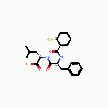 CC(C)C[C@H](NC(=O)[C@H](Cc1ccccc1)NC(=O)[C@@H]1CCCC[C@H]1S)C(=O)O